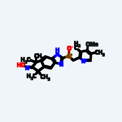 COc1c(C)cnc(C[S+]([O-])c2nc3cc4c(cc3[nH]2)C(C)(C)/C(=N\O)C4(C)C)c1C